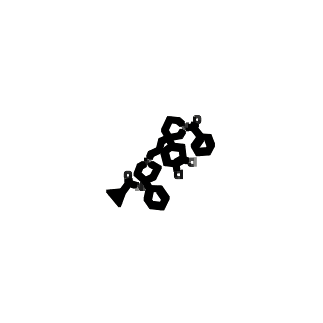 O=C(NC1(c2ccccc2)CCN(CCCC2(c3ccc(Cl)c(Cl)c3)CCCN(C(=O)c3ccccc3)C2)CC1)C1CC1